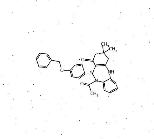 CC(=O)N1c2ccccc2NC2=C(C(=O)CC(C)(C)C2)[C@H]1c1ccc(OCc2ccccc2)cc1